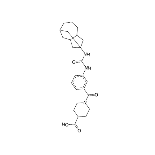 O=C(Nc1cccc(C(=O)N2CCC(C(=O)O)CC2)c1)NC12CC3CCCC(C1)C(C3)C2